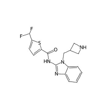 O=C(Nc1nc2ccccc2n1CC1CNC1)c1ccc(C(F)F)s1